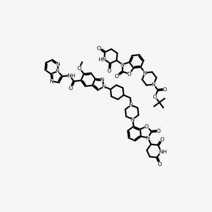 CC(C)(C)OC(=O)N1CCN(c2cccc3c2oc(=O)n3C2CCC(=O)NC2=O)CC1.COc1cc2nn(C3CCC(CN4CCN(c5cccc6c5oc(=O)n6C5CCC(=O)NC5=O)CC4)CC3)cc2cc1C(=O)Nc1cnc2cccnn12